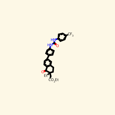 CCOC(=O)CC1(CC)CCc2cc(-c3ccc(NC(=O)Nc4ccc(C(F)(F)F)cc4)cc3)ccc2C1=O